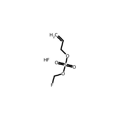 C=CCOS(=O)(=O)OCF.F